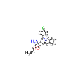 BCCCCC(N)(CO)CCC1Cc2ccccc2CN1Cc1ccc(Cl)cc1